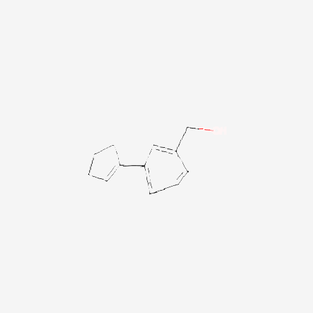 OCc1cccc(C2=CCCC2)c1